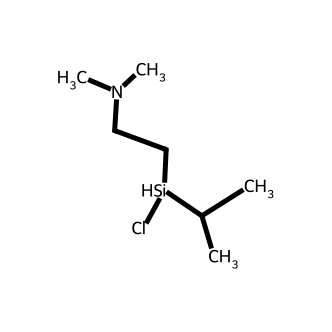 CC(C)[SiH](Cl)CCN(C)C